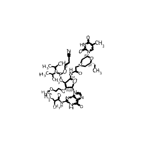 CC[C@@H]1CN(CC(=O)N[C@H]2O[C@@H](n3cnc4c(=O)[nH]c(NC(=O)C(C)C)nc43)[C@@H](OCCOC)C2OP(OCCC#N)N(C(C)C)C(C)C)C[C@H](n2cc(C)c(=O)[nH]c2=O)O1